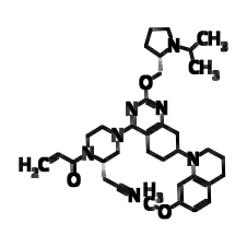 C=CC(=O)N1CCN(c2nc(OC[C@@H]3CCCN3C(C)C)nc3c2CCC(N2CCCc4ccc(OC)cc42)C3)C[C@@H]1CC#N